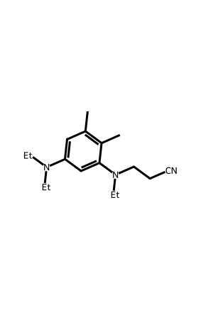 CCN(CC)c1cc(C)c(C)c(N(CC)CCC#N)c1